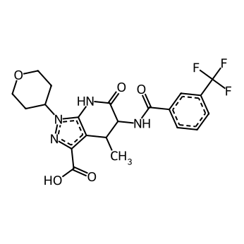 CC1c2c(C(=O)O)nn(C3CCOCC3)c2NC(=O)C1NC(=O)c1cccc(C(F)(F)F)c1